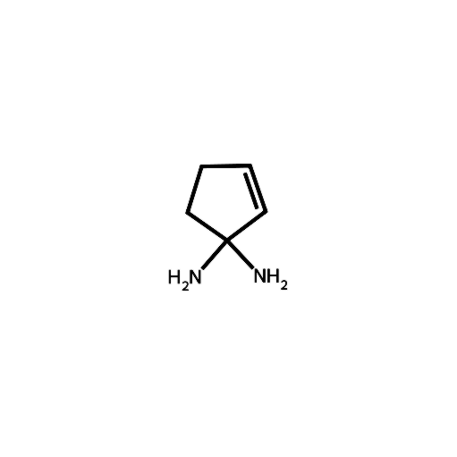 NC1(N)C=CCC1